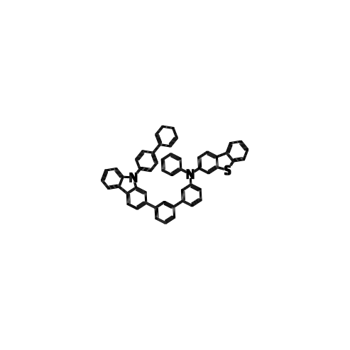 C1=CC(c2ccc(-n3c4ccccc4c4ccc(-c5cccc(-c6cccc(N(c7ccccc7)c7ccc8c(c7)sc7ccccc78)c6)c5)cc43)cc2)=CCC1